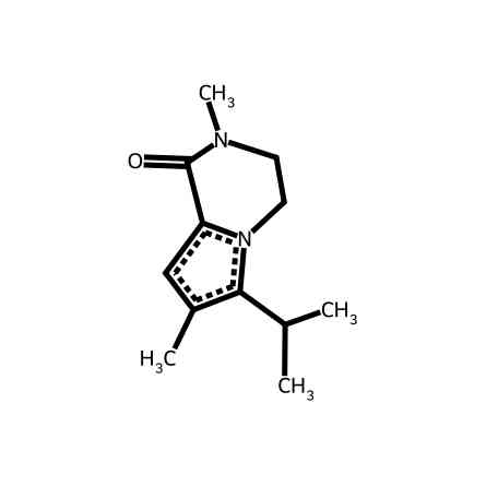 Cc1cc2n(c1C(C)C)CCN(C)C2=O